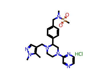 Cc1c(CN2CCN(c3cnccn3)CC2c2ccc(CN(C)S(C)(=O)=O)cc2)cnn1C.Cl